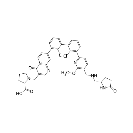 COc1nc(-c2cccc(-c3cccc(-c4ccn5c(=O)c(CN6CCC[C@H]6C(=O)O)cnc5c4)c3Cl)c2Cl)ccc1CNC[C@@H]1CCC(=O)N1